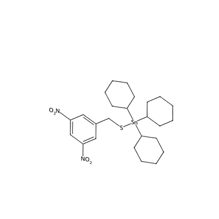 O=[N+]([O-])c1cc(C[S][Sn]([CH]2CCCCC2)([CH]2CCCCC2)[CH]2CCCCC2)cc([N+](=O)[O-])c1